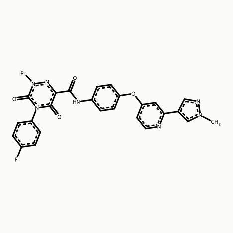 CC(C)n1nc(C(=O)Nc2ccc(Oc3ccnc(-c4cnn(C)c4)c3)cc2)c(=O)n(-c2ccc(F)cc2)c1=O